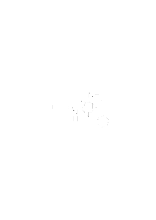 CCOCONc1nc(N)nc(-c2ccccc2)n1